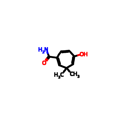 CC1(C)C=C(O)C=CC(C(N)=O)=C1